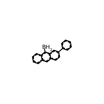 Bc1c2ccccc2cc2ccc(-c3ccccc3)cc12